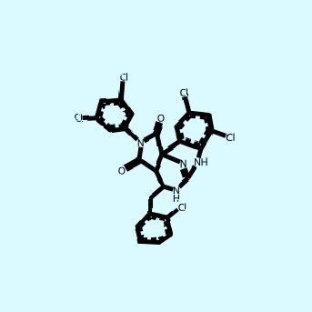 O=C1C2C(Cc3ccccc3Cl)NC3=NC2(C(=O)N1c1cc(Cl)cc(Cl)c1)c1cc(Cl)cc(Cl)c1N3